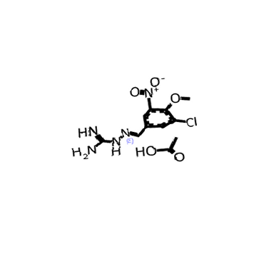 CC(=O)O.COc1c(Cl)cc(/C=N/NC(=N)N)cc1[N+](=O)[O-]